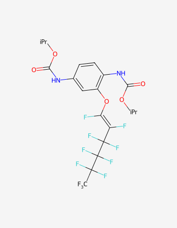 CC(C)OC(=O)Nc1ccc(NC(=O)OC(C)C)c(OC(F)=C(F)C(F)(F)C(F)(F)C(F)(F)C(F)(F)F)c1